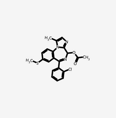 CSc1ccc2c(c1)C(c1ccccc1Cl)=NC(OC(C)=O)c1ncc(C)n1-2